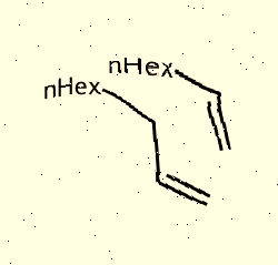 C=CCCCCCC.C=CCCCCCCC